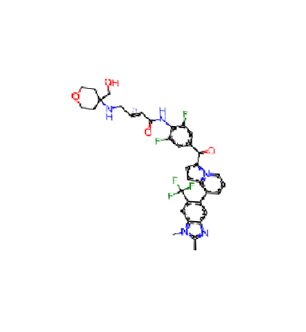 Cc1nc2cc(-c3cccn4c(C(=O)c5cc(F)c(NC(=O)/C=C/CNC6(CO)CCOCC6)c(F)c5)ccc34)c(C(F)(F)F)cc2n1C